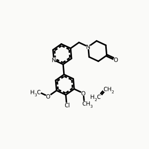 C=C.COc1cc(-c2cc(CN3CCC(=O)CC3)ccn2)cc(OC)c1Cl